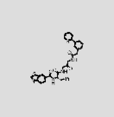 CC(C)C[C@H](NC(=O)c1ccc2ncsc2c1)C(=O)NCC(=O)CNC(=O)Cc1cccc(-c2ccccn2)c1